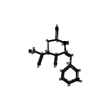 CC(=O)N1CC(=O)NC(=Cc2cccnc2)C1=O